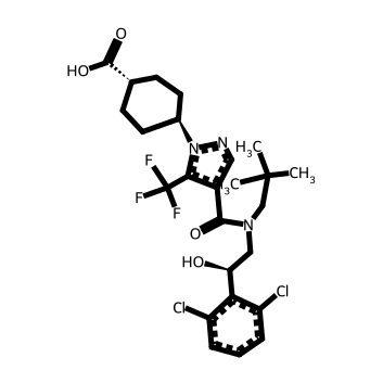 CC(C)(C)CN(C[C@H](O)c1c(Cl)cccc1Cl)C(=O)c1cnn([C@H]2CC[C@H](C(=O)O)CC2)c1C(F)(F)F